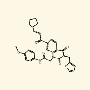 COc1ccc(NC(=O)Cn2c(=O)n(Cc3ccco3)c(=O)c3ccc(C(=O)N=NC4CCCC4)cc32)cc1